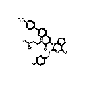 CCN(CC)CCNC(=O)C(Cc1ccc(-c2ccc(C(F)(F)F)cc2)cc1)n1c(SCc2ccc(F)cc2)nc(=O)c2c1CCC2